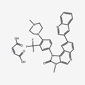 CN1CCN(c2ccc(-n3c(=O)n(C)c4cnc5ccc(-c6cnc7ccccc7c6)cc5c43)cc2C(F)(F)F)CC1.O=C(O)/C=C\C(=O)O